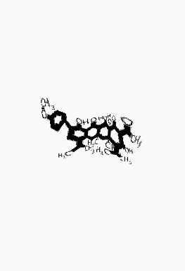 COc1ccc(-c2cc(C(C)C)c3c(c2O)C(=O)C2=C(O)[C@@]4(O)C(=O)C(C(C)=O)=C(O)C(C(C)C)[C@@]4(C)C[C@@]2(C)C3)cc1